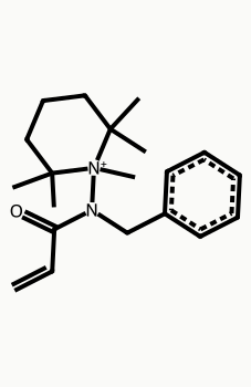 C=CC(=O)N(Cc1ccccc1)[N+]1(C)C(C)(C)CCCC1(C)C